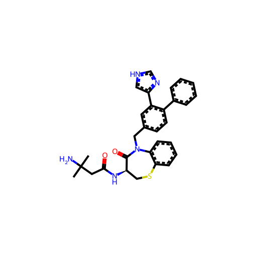 CC(C)(N)CC(=O)N[C@@H]1CSc2ccccc2N(Cc2ccc(-c3ccccc3)c(-c3c[nH]cn3)c2)C1=O